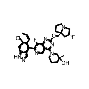 C/C=C\c1c(Cl)cc2[nH]ncc2c1-c1ncc2c(N3CCC[C@@](C)(O)C3)nc(OC[C@@]34CCCN3C[C@H](F)C4)nc2c1F